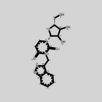 O=c1ccn([C@@H]2O[C@H](CO)C(O)C2O)c(=O)n1Cc1noc2ccccc12